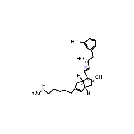 CCCCNCCCCCC1=C[C@H]2C[C@@H](O)[C@H](/C=C/[C@H](O)Cc3cccc(C)c3)[C@H]2C1